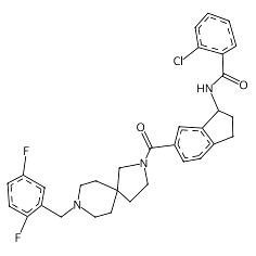 O=C(NC1CCc2ccc(C(=O)N3CCC4(CCN(Cc5cc(F)ccc5F)CC4)C3)cc21)c1ccccc1Cl